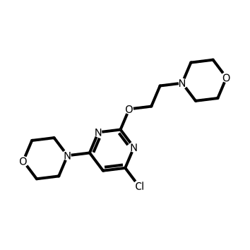 Clc1cc(N2CCOCC2)nc(OCCN2CCOCC2)n1